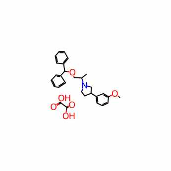 COc1cccc(C2CCN(C(C)COC(c3ccccc3)c3ccccc3)C2)c1.O=C(O)C(=O)O